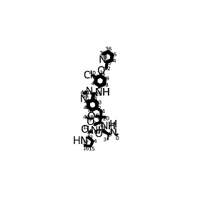 CN[C@@H](C)C(=O)N[C@H](C(=O)NC(=O)[C@@H]1CCCN1)C(C)(C)Cc1cc2c(Nc3ccc(OCc4ccccn4)c(Cl)c3)ncnc2cc1OC